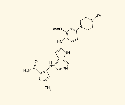 COc1cc(N2CCN(C(C)C)CC2)ccc1Nc1cc2c(Nc3cc(C)sc3C(N)=O)cncc2[nH]1